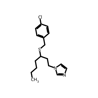 CCCCC(CCn1ccnc1)SCc1ccc(Cl)cc1